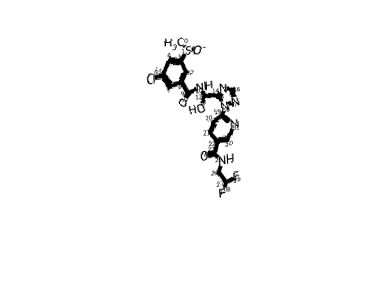 C[S+]([O-])c1cc(Cl)cc(C(=O)NC(O)c2ncnn2-c2ccc(C(=O)NCC(F)F)cn2)c1